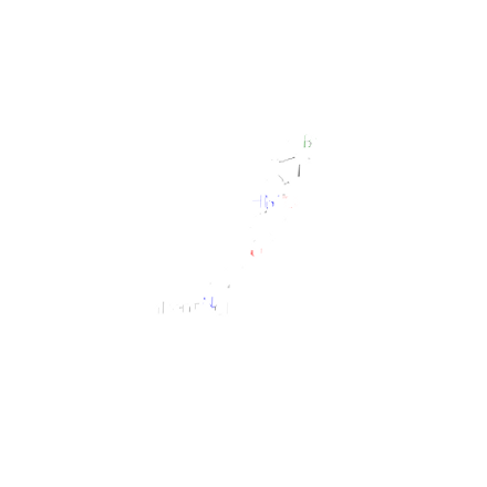 CCCCCN(C)CCCCCOC1CCC(NC(=O)c2ccc(CBr)cc2)CC1